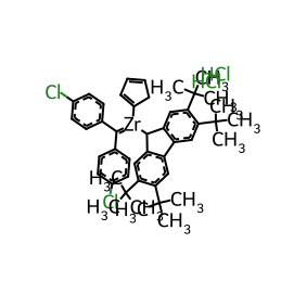 CC(C)(C)c1cc2c(cc1C(C)(C)C)[CH]([Zr]([C]1=CC=CC1)=[C](c1ccc(Cl)cc1)c1ccc(Cl)cc1)c1cc(C(C)(C)C)c(C(C)(C)C)cc1-2.Cl.Cl